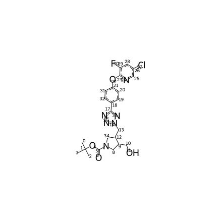 CC(C)(C)OC(=O)N1CC(CO)C(Cn2nnc(-c3ccc(Oc4ncc(Cl)cc4F)cc3)n2)C1